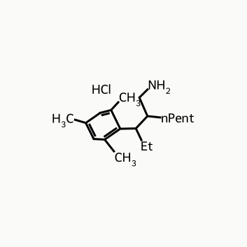 CCCCCC(CN)C(CC)c1c(C)cc(C)cc1C.Cl